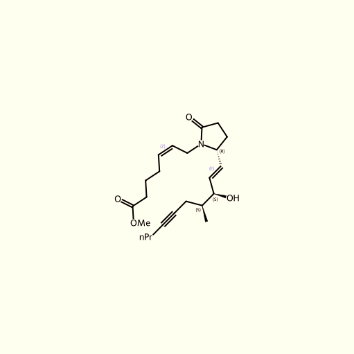 CCCC#CC[C@H](C)[C@H](O)/C=C/[C@H]1CCC(=O)N1C/C=C\CCCC(=O)OC